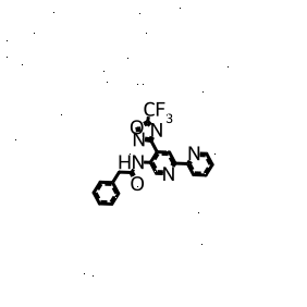 O=C(Cc1ccccc1)Nc1cnc(-c2ccccn2)cc1-c1noc(C(F)(F)F)n1